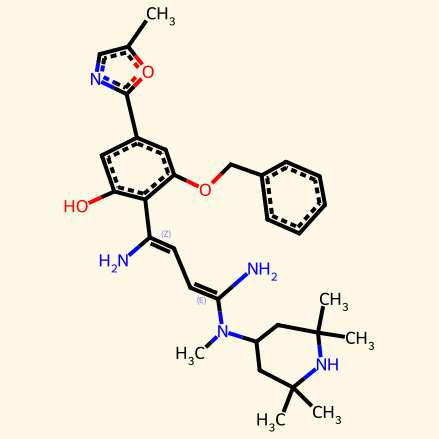 Cc1cnc(-c2cc(O)c(/C(N)=C/C=C(\N)N(C)C3CC(C)(C)NC(C)(C)C3)c(OCc3ccccc3)c2)o1